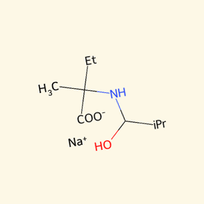 CCC(C)(NC(O)C(C)C)C(=O)[O-].[Na+]